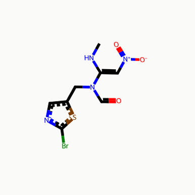 CNC(=C[N+](=O)[O-])N(C=O)Cc1cnc(Br)s1